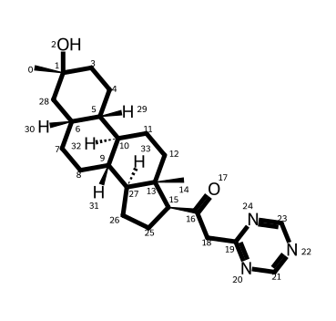 C[C@@]1(O)CC[C@H]2[C@H](CC[C@@H]3[C@@H]2CC[C@]2(C)[C@@H](C(=O)Cc4ncncn4)CC[C@@H]32)C1